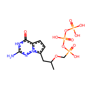 CC(Cc1ccc2c(=O)[nH]c(N)nn12)OCP(=O)(O)OP(=O)(O)OP(=O)(O)O